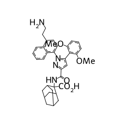 COc1cccc(OC)c1-c1cc(C(=O)NC2(C(=O)O)C3CC4CC(C3)CC2C4)nn1-c1ccc(CCN)c2ccccc12